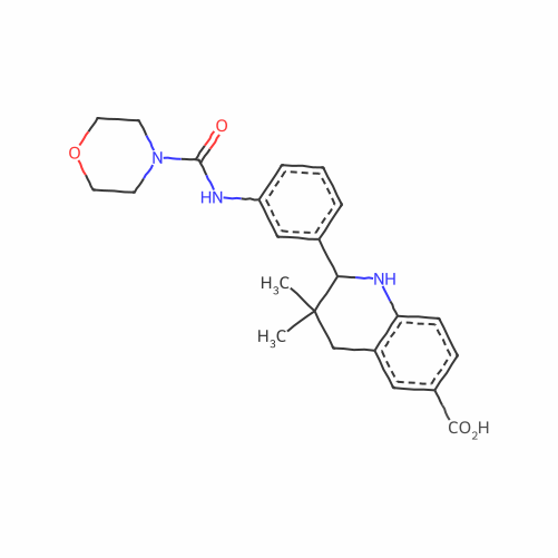 CC1(C)Cc2cc(C(=O)O)ccc2NC1c1cccc(NC(=O)N2CCOCC2)c1